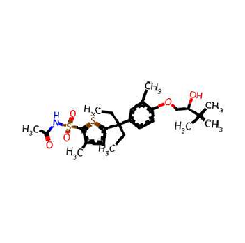 CCC(CC)(c1ccc(OCC(O)C(C)(C)C)c(C)c1)c1cc(C)c(S(=O)(=O)NC(C)=O)s1